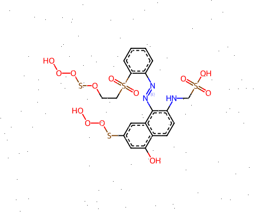 O=S(=O)(O)CNc1ccc2c(O)cc(SOOO)cc2c1/N=N/c1ccccc1S(=O)(=O)CCOSOOO